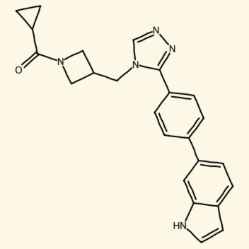 O=C(C1CC1)N1CC(Cn2cnnc2-c2ccc(-c3ccc4cc[nH]c4c3)cc2)C1